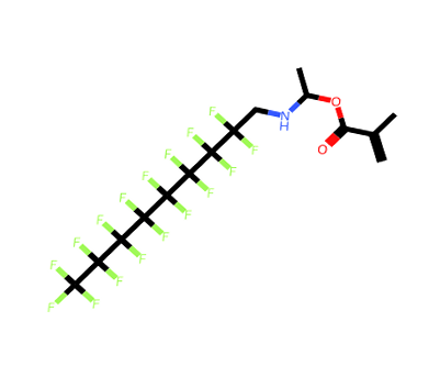 C=C(C)C(=O)OC(C)NCC(F)(F)C(F)(F)C(F)(F)C(F)(F)C(F)(F)C(F)(F)C(F)(F)C(F)(F)F